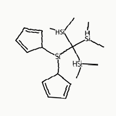 C[SiH](C)C([Si](C1C=CC=C1)C1C=CC=C1)([SiH](C)C)[SiH](C)C